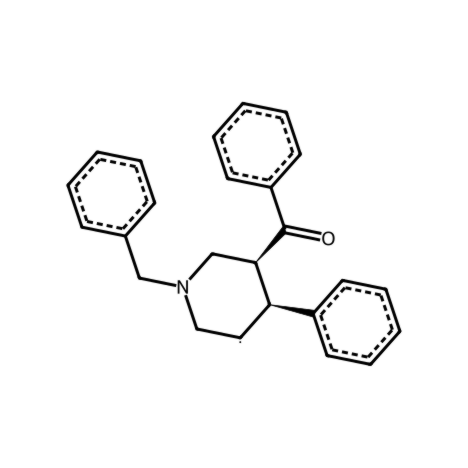 O=C(c1ccccc1)[C@@H]1CN(Cc2ccccc2)C[CH][C@@H]1c1ccccc1